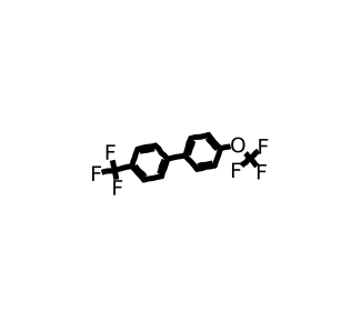 FC(F)(F)Oc1ccc(-c2ccc(C(F)(F)F)cc2)cc1